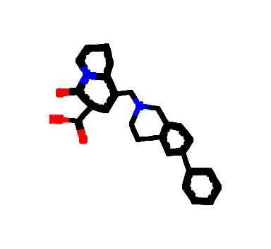 O=C(O)c1cc(CN2CCc3cc(-c4ccccc4)ccc3C2)c2ccccn2c1=O